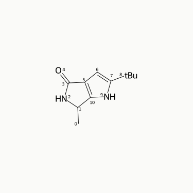 CC1NC(=O)c2cc(C(C)(C)C)[nH]c21